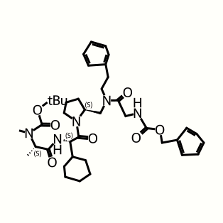 C[C@@H](C(=O)N[C@H](C(=O)N1CCC[C@H]1CN(CCc1ccccc1)C(=O)CNC(=O)OCc1ccccc1)C1CCCCC1)N(C)C(=O)OC(C)(C)C